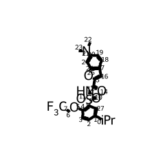 CC(C)c1ccc(OCC(F)(F)F)c(S(=O)(=O)NC(=O)c2cc3ccc(N(C)C)cc3o2)c1